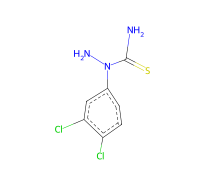 NC(=S)N(N)c1ccc(Cl)c(Cl)c1